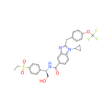 CCS(=O)(=O)c1ccc([C@H](CO)NC(=O)c2ccc3c(c2)nc(Cc2ccc(OC(F)(F)F)cc2)n3C2CC2)cc1